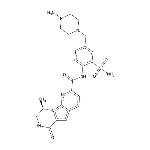 C[C@@H]1CNC(=O)c2cc3ccc(C(=O)Nc4ccc(CN5CCN(C)CC5)cc4S(N)(=O)=O)nc3n21